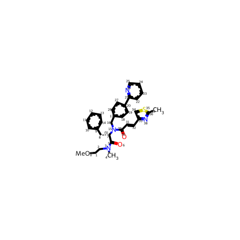 COCCN(C)C(=O)[C@H](Cc1ccccc1)N(Cc1ccc(-c2ccccn2)cc1)C(=O)C=Cc1csc(C)n1